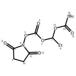 CCC(OC(=O)ON1C(=O)CCC1=O)OC(=O)C(C)(C)C